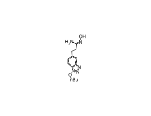 CCCCOn1nnc2cc(CC/C(N)=N/O)ccc21